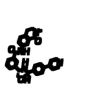 CN1CCc2ccc(NC(=O)c3cccc([C@@H](CO)NC(=O)c4ccc(-c5ccncc5)cc4)c3)cc2C1=O